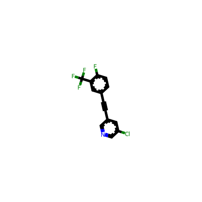 Fc1ccc(C#Cc2cncc(Cl)c2)cc1C(F)(F)F